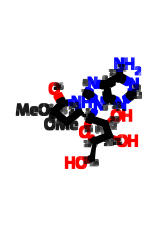 COC1(OC)CC([C@@]2(n3cnc4c(N)ncnc43)O[C@H](CO)[C@@H](O)[C@H]2O)NC1=O